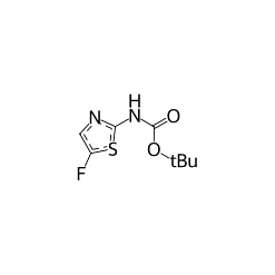 CC(C)(C)OC(=O)Nc1ncc(F)s1